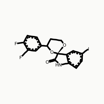 O=C1Nc2ccc(I)cc2[C@]12OCCC(c1ccc(F)c(F)c1)O2